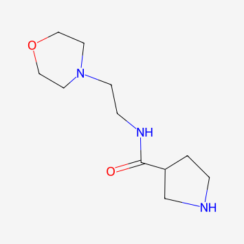 O=C(NCCN1CCOCC1)C1CCNC1